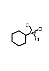 [Cl][Ge]([Cl])([Cl])[CH]1CCCCC1